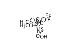 CC(C)(C)c1cccc(S(=O)(=O)n2c(Cc3nc(C(=O)O)cs3)cc3cc(C(F)(F)F)ccc32)c1